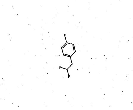 Fc1ccc(CC(F)F)cc1